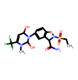 CCS(=O)(=O)N1Sc2ccc(N3C(O)C=C(C(F)(F)F)N(C)C3O)cc2C1C(N)=O